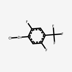 Fc1cc(C(F)(F)F)c(F)c[c]1[Zn][Cl]